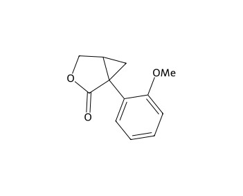 COc1ccccc1C12CC1COC2=O